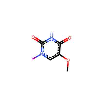 COc1cn(I)c(=O)[nH]c1=O